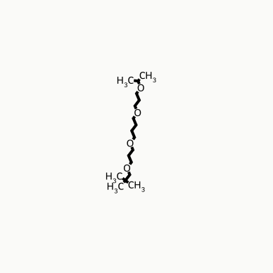 CC(C)OCCCOCCCCOCCCOCC(C)(C)C